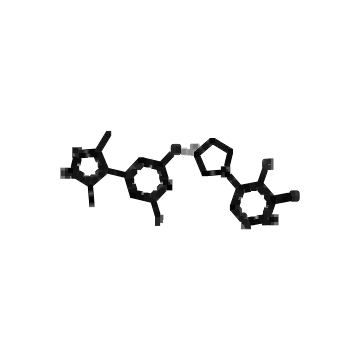 Cc1n[nH]c(C)c1-c1cc(F)nc(O[C@@H]2CCN(c3cn[nH]c(=O)c3Cl)C2)c1